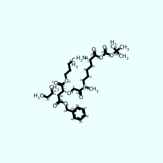 CCCCOC(=O)[C@H](OCC(=O)N(C)CCCC[C@H](N)C(=O)OC(=O)OC(C)(C)C)[C@H](C(=O)OCc1ccccc1)C(C)CC